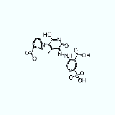 CC1=C([n+]2cccc(C(=O)[O-])c2)C(O)=NC(=O)/C1=N\Nc1ccc(S(=O)(=O)O)cc1C(=O)O